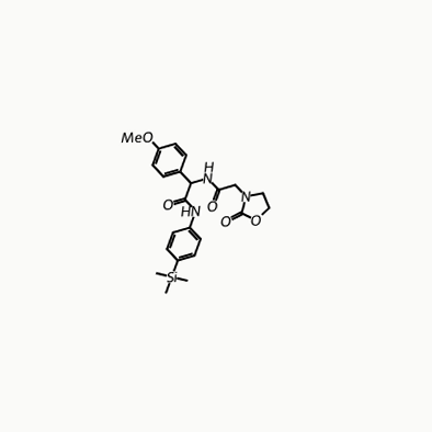 COc1ccc(C(NC(=O)CN2CCOC2=O)C(=O)Nc2ccc([Si](C)(C)C)cc2)cc1